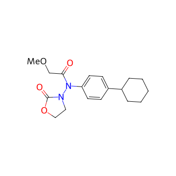 COCC(=O)N(c1ccc(C2CCCCC2)cc1)N1CCOC1=O